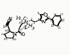 C[N+](C)(CCc1coc(-c2ccccc2)n1)CC(=O)N1CCCC1C#N